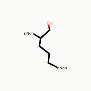 CCCCCCCCCCCCC(CO)CCCCCCCCC